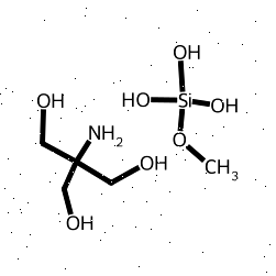 CO[Si](O)(O)O.NC(CO)(CO)CO